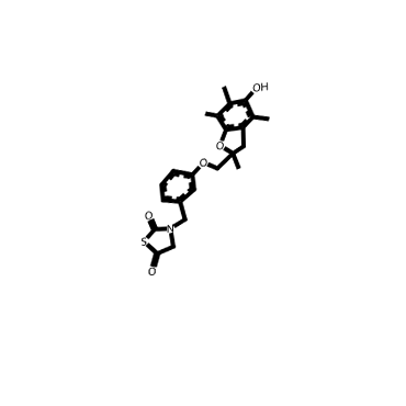 Cc1c(C)c2c(c(C)c1O)CC(C)(COc1cccc(CN3CC(=O)SC3=O)c1)O2